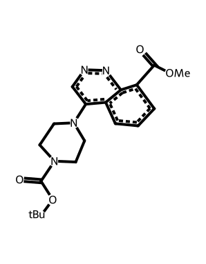 COC(=O)c1cccc2c(N3CCN(C(=O)OC(C)(C)C)CC3)cnnc12